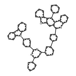 c1ccc(-c2cc(-c3cccc(-c4ccc(-c5nc6ccccc6c6c(-c7ccccc7)c7c(cc56)oc5ccccc57)cc4)c3)nc(-c3ccc(-n4c5ccccc5c5ccccc54)cc3)n2)cc1